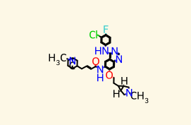 CN1C[C@@H]2C(CCOc3cc4ncnc(Nc5ccc(F)c(Cl)c5)c4cc3NC(=O)/C=C/CC3CC4CCC3CN4C)[C@@H]2C1